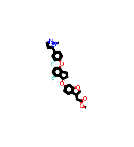 COC(=O)CC1COc2cc(O[C@@H]3CCc4c(Oc5ccc(-c6ccnn6C)cc5F)ccc(F)c43)ccc21